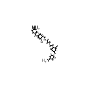 Cc1cc(Cc2ccc(N)cc2)ccc1CCCCCCCc1ccc(Cc2ccc(N)cc2)cc1C